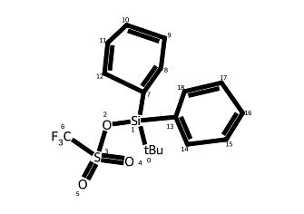 CC(C)(C)[Si](OS(=O)(=O)C(F)(F)F)(c1ccccc1)c1ccccc1